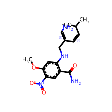 COc1cc(NCC(/C=C\C(C)C)=C/N)c(C(N)=O)cc1[N+](=O)[O-]